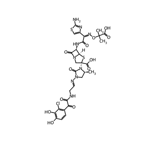 C[C@H]1CN(/N=C/CNC(=O)C(=O)c2ccc(O)c(O)c2Cl)C(=O)N1[C@]1(C(=O)O)CN2C(=O)[C@@H](NC(=O)/C(=N\OC(C)(C)C(=O)O)c3csc(N)n3)[C@H]2S1